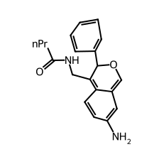 CCCC(=O)NCC1=c2ccc(N)cc2=COC1c1ccccc1